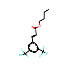 CCCCOC(=O)C=Cc1cc(C(F)(F)F)cc(C(F)(F)F)c1